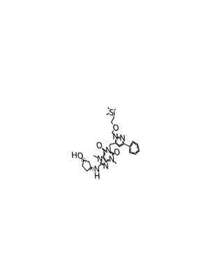 Cn1c(N[C@@H]2CC[C@H](O)C2)nc2c1c(=O)n(Cc1cc(-c3ccccc3)nn1COCC[Si](C)(C)C)c(=O)n2C